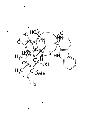 C=COC(=O)Oc1c(C)c2c(c3c1[C@H]1SC[C@]4(NCCc5c4[nH]c4ccccc54)C(=O)OC[C@@H]3N3C1[C@@H]1c4c(cc(C)c(OC)c4O)C[C@H]([C@@H]3O)N1C)OCO2